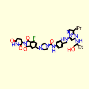 CC[C@@H](CO)Nc1cc(NCc2ccc(NC(=O)N3CCN(Cc4cc(F)c5c(c4)C(=O)N(C4CCC(=O)NC4=O)C5=O)CC3)cc2)n2ncc(C(C)C)c2n1